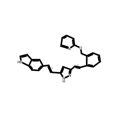 C(=C\c1cc(/C=C/c2ccccc2COc2ccccn2)n[nH]1)/c1ccc2[nH]ccc2c1